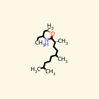 CCC(CC)NC(=O)[C@H](C)CCC(C)CCCC(C)C